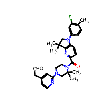 Cc1ccc(N2CC(C)(C)c3nc(C(=O)N4CCN(c5cc(CC=O)ccn5)CC4(C)C)ccc32)cc1F